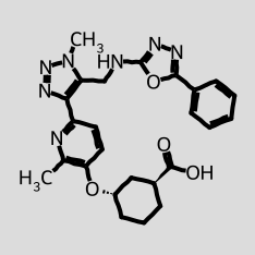 Cc1nc(-c2nnn(C)c2CNc2nnc(-c3ccccc3)o2)ccc1O[C@H]1CCC[C@H](C(=O)O)C1